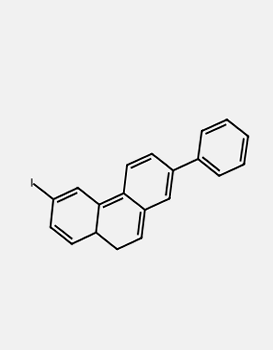 IC1=CC2=c3ccc(-c4ccccc4)cc3=CCC2C=C1